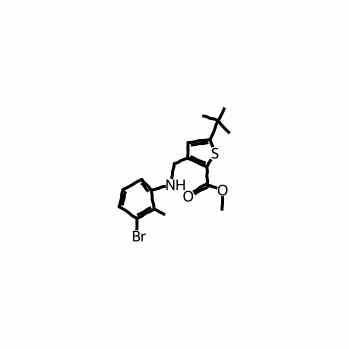 COC(=O)c1sc(C(C)(C)C)cc1CNc1cccc(Br)c1C